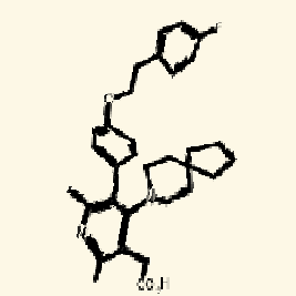 Cc1nc(C)c(-c2ccc(OCCc3ccc(F)cc3)cc2)c(N2CCC3(CCCC3)CC2)c1CC(=O)O